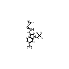 CC(C)c1ccc2c(CNSC3CC3)cn(CC(C)(C)C)c2c1